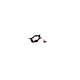 CCOC(=O)C(Oc1ccc([N+](=O)[O-])cc1[N+](=O)[O-])C(=O)OCC